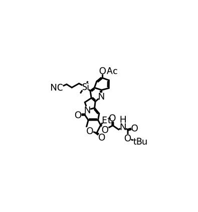 CCC1(OC(=O)CNC(=O)OC(C)(C)C)C(=O)OCc2c1cc1n(c2=O)Cc2c-1nc1ccc(OC(C)=O)cc1c2[Si](C)(C)CCCC#N